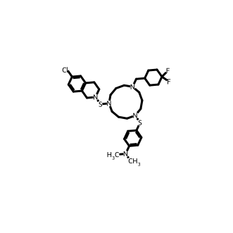 CN(C)c1ccc(SN2CCCN(CC3CCC(F)(F)CC3)CCCN(SN3CCc4cc(Cl)ccc4C3)CCC2)cc1